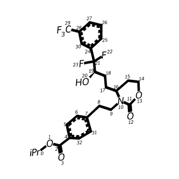 CC(C)OC(=O)c1ccc(CCN2C(=O)OCCC2CC[C@@H](O)C(F)(F)c2cccc(C(F)(F)F)c2)cc1